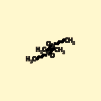 CCCCCCN1C(=O)C2=C(C)N(CCCCCC)C(=O)C2=C1C